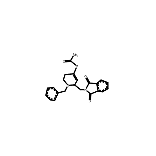 NC(=O)OC1=CC(CN2C(=O)c3ccccc3C2=O)N(Cc2ccccc2)CC1